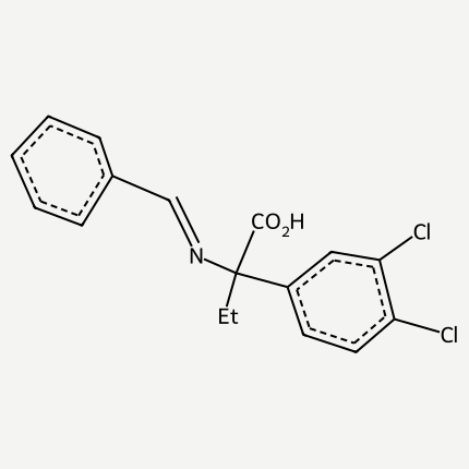 CCC(N=Cc1ccccc1)(C(=O)O)c1ccc(Cl)c(Cl)c1